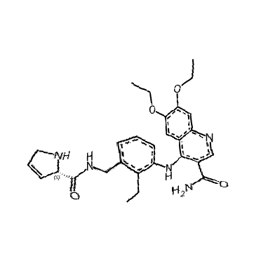 CCOc1cc2ncc(C(N)=O)c(Nc3cccc(CNC(=O)[C@@H]4C=CCN4)c3CC)c2cc1OCC